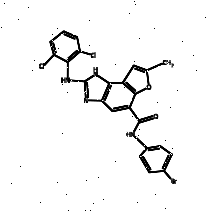 Cc1cc2c(o1)c(C(=O)Nc1ccc(Br)cc1)cc1nc(Nc3c(Cl)cccc3Cl)[nH]c12